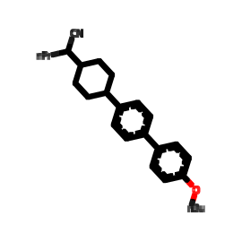 CCCCOc1ccc(-c2ccc(C3CCC(C(C#N)CCC)CC3)cc2)cc1